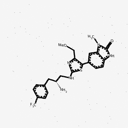 COCc1nc(NC[C@H](N)Cc2ccc(C(F)(F)F)cc2)sc1-c1ccc2[nH]c(=O)n(C)c2c1